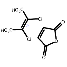 O=C(O)/C(Cl)=C(/Cl)C(=O)O.O=C1C=CC(=O)O1